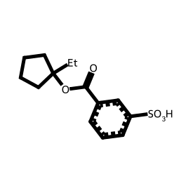 CCC1(OC(=O)c2cccc(S(=O)(=O)O)c2)CCCC1